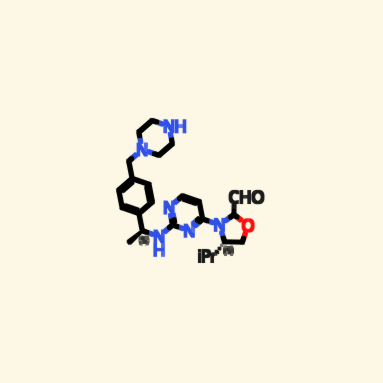 CC(C)[C@H]1COC(C=O)N1c1ccnc(N[C@@H](C)c2ccc(CN3CCNCC3)cc2)n1